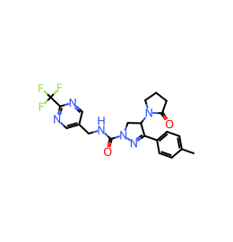 Cc1ccc(C2=NN(C(=O)NCc3cnc(C(F)(F)F)nc3)CC2N2CCCC2=O)cc1